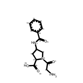 NCC(=O)N1CC(NC(=O)c2ccccc2)CC1C(=O)O